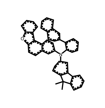 CC1(C)c2ccccc2-c2cc(N(c3ccc4c(ccc5oc6ccccc6c54)c3)c3ccccc3-c3ccc4ccccc4c3)ccc21